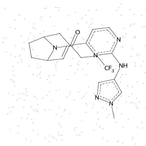 Cn1cc(Nc2nccc(C3=CC4CCC(C3)N4C(=O)CCC(F)(F)F)n2)cn1